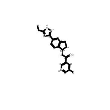 CCc1nc(-c2ccc3c(c2)CC[C@H]3CC(=O)c2cncc(C)c2)no1